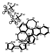 C(=C\c1cc2ccccc2[n+]2c1-c1c(ccc3c1-c1cccc[n+]1CCC3)CCC2)/c1ccc(-c2cccs2)s1.O=S(=O)([O-])C(F)(F)F.O=S(=O)([O-])C(F)(F)F